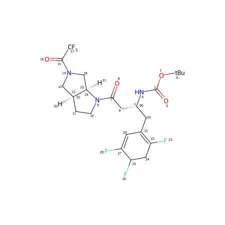 CC(C)(C)OC(=O)N[C@@H](CC(=O)N1CC[C@H]2CN(C(=O)C(F)(F)F)C[C@H]21)CC1=C(F)CC(F)C(F)=C1